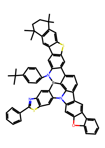 CC(C)(C)c1ccc(N2B3c4cc5nc(-c6ccccc6)sc5cc4-n4c5cc6oc7ccccc7c6cc5c5ccc(c3c54)-c3cc4sc5cc6c(cc5c4cc32)C(C)(C)CCC6(C)C)cc1